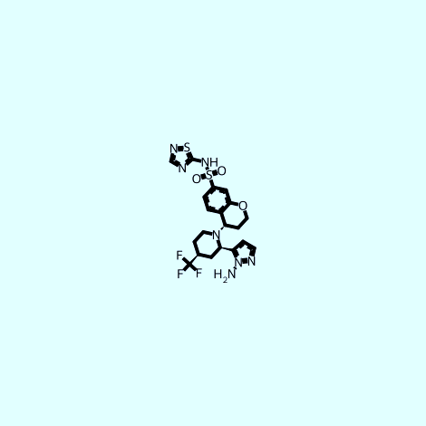 Nn1nccc1[C@H]1C[C@@H](C(F)(F)F)CCN1[C@H]1CCOc2cc(S(=O)(=O)Nc3ncns3)ccc21